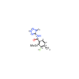 CSc1c(C(=O)Nc2nnnn2C)ccc(C(F)(F)F)c1F